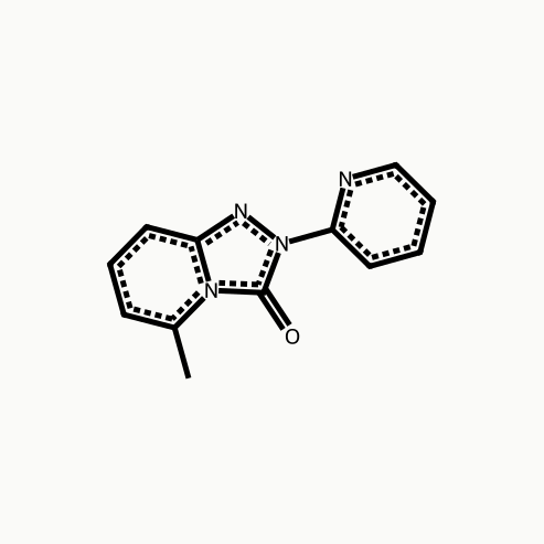 Cc1cccc2nn(-c3ccccn3)c(=O)n12